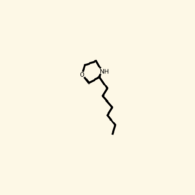 CCCCCCC1[CH]OCCN1